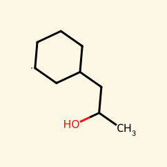 CC(O)CC1C[CH]CCC1